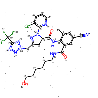 Cc1cc(C#N)cc(C(=O)NCCCCCCO)c1NC(=O)C1CC(Cn2nnc(C(F)(F)F)n2)=NN1c1ncccc1Cl